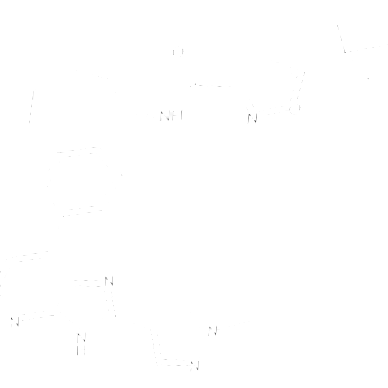 Cn1cc(-c2nc3c(-c4ccc5c(c4)CCCC[C@@H]5NC(=O)c4cc(C5(C)CC5)on4)ccnc3[nH]2)cn1